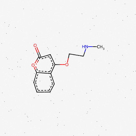 CNCCOc1cc(=O)oc2ccccc12